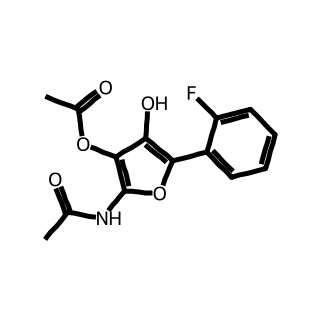 CC(=O)Nc1oc(-c2ccccc2F)c(O)c1OC(C)=O